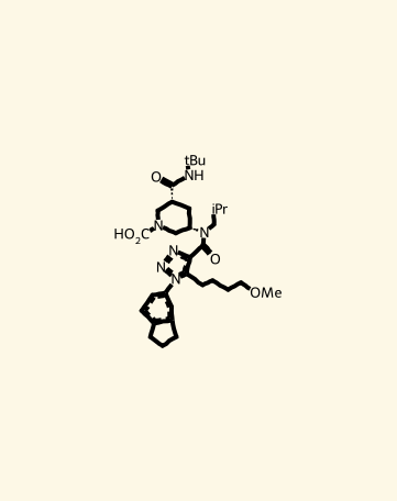 COCCCCc1c(C(=O)N(CC(C)C)[C@H]2C[C@@H](C(=O)NC(C)(C)C)CN(C(=O)O)C2)nnn1-c1ccc2c(c1)CCC2